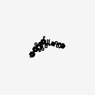 C[C@@H]1CCCN1CC(=O)O[C@H]1C[C@@H](CNC(=O)c2cc(F)cc(CN3C(=O)c4ccc(-c5ccncc5)cc4N(C)C(=O)C3(C)C)c2)C1